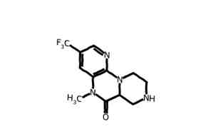 CN1C(=O)C2CNCCN2c2ncc(C(F)(F)F)cc21